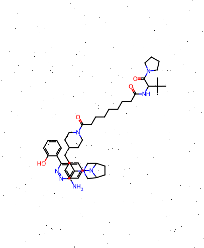 CC(C)(C)C(NC(=O)CCCCCCCC(=O)N1CCC(Cc2cccc(N3C4CCC3CN(c3cc(-c5ccccc5O)nnc3N)C4)c2)CC1)C(=O)N1CCCC1